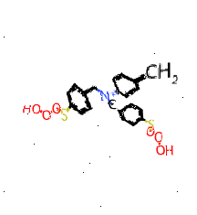 C=C1C=CC(=[N+](Cc2ccc(SOOO)cc2)Cc2ccc(SOOO)cc2)C=C1